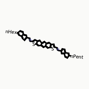 CCCCCCc1ccc2cc(/C=C/c3cc4cc5cc6cc7cc(/C=C/c8ccc9cc(CCCCC)ccc9c8)sc7cc6cc5cc4s3)ccc2c1